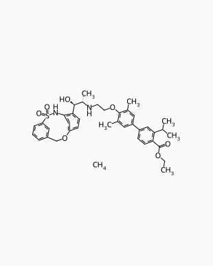 C.CCOC(=O)c1ccc(-c2cc(C)c(OCCN[C@@H](C)[C@H](O)c3ccc4cc3NS(=O)(=O)c3cccc(c3)CO4)c(C)c2)cc1C(C)C